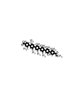 COC(=O)C1CCC(C2CC(C)C(C3CC(C)C(C4CC(C)C(C5CC(C)C(C6CCC(C(C)=O)CC6C)CC5C)CC4C)CC3C)CC2C)C(C)C1